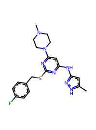 Cc1cc(Nc2cc(N3CCN(C)CC3)nc(SCc3ccc(F)cc3)n2)n[nH]1